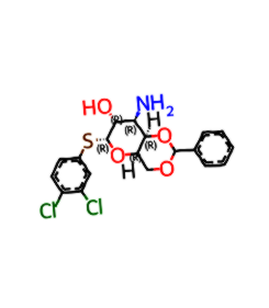 N[C@@H]1[C@@H](O)[C@@H](Sc2ccc(Cl)c(Cl)c2)O[C@@H]2COC(c3ccccc3)O[C@H]12